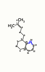 CC(C)=CCCC1CCCc2cccnc21